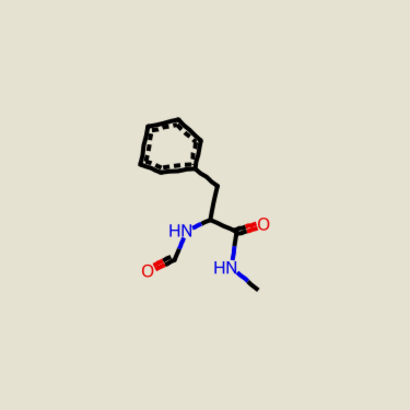 CNC(=O)C(Cc1ccccc1)NC=O